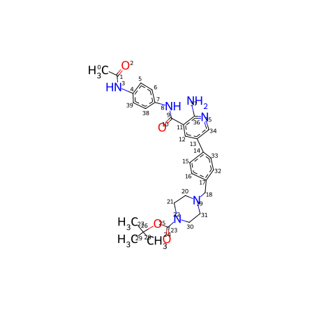 CC(=O)Nc1ccc(NC(=O)c2cc(-c3ccc(CN4CCN(C(=O)OC(C)(C)C)CC4)cc3)cnc2N)cc1